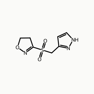 O=S(=O)(Cc1cc[nH]n1)C1=NOCC1